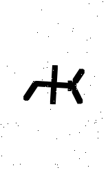 CCC(C)(C)N(C)C